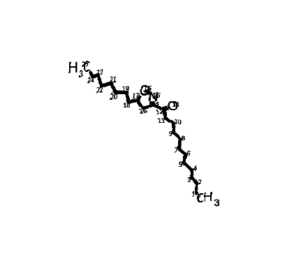 CCCCCCCCCCCCC(=O)C1=NOC(CCCCCCCC)C1